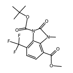 COC(=O)c1ccc(C(F)(F)F)c2c1n(C)c(=O)n2C(=O)OC(C)(C)C